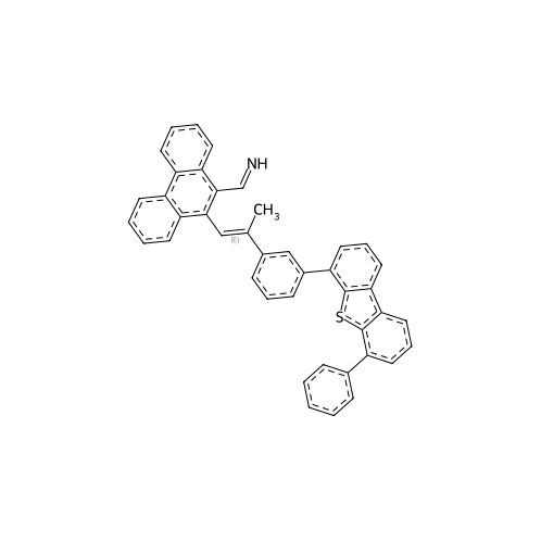 C/C(=C\c1c(C=N)c2ccccc2c2ccccc12)c1cccc(-c2cccc3c2sc2c(-c4ccccc4)cccc23)c1